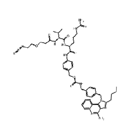 CCCCc1nc2c(N)nc3ccccc3c2n1Cc1ccc(CNC(=O)OCc2ccc(NC(=O)[C@H](CCCNC(N)=O)NC(=O)[C@@H](NC(=O)CCOCCN=[N+]=[N-])C(C)C)cc2)cc1